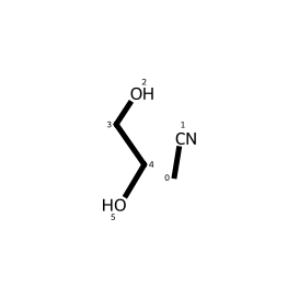 CC#N.OCCO